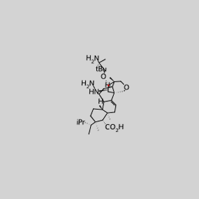 CC(C)[C@@H](C)[C@@]1(C)CC[C@]2(C)[C@H]3CC[C@@H]4[C@@]5(COC[C@@]4(C)[C@@H](OC[C@](C)(N)C(C)(C)C)[C@H](NN)C5)C3=CC[C@@]2(C)[C@@H]1C(=O)O